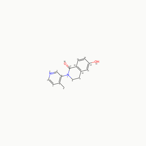 Cc1ccncc1N1CCc2cc(O)ccc2C1=O